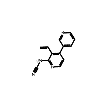 C=Cc1c(-c2cccnc2)ccnc1NC#N